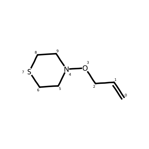 C=CCON1CCSCC1